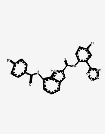 O=C(Nc1cccc2cc(C(=O)Nc3ccc(Cl)cc3-c3nnn[nH]3)[nH]c12)c1ccc(Br)cc1